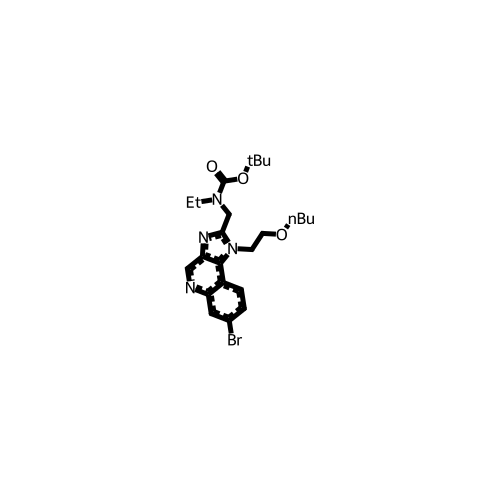 CCCCOCCn1c(CN(CC)C(=O)OC(C)(C)C)nc2cnc3cc(Br)ccc3c21